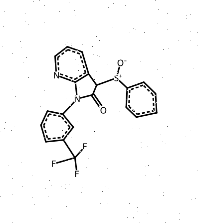 O=C1C([S+]([O-])c2ccccc2)c2cccnc2N1c1cccc(C(F)(F)F)c1